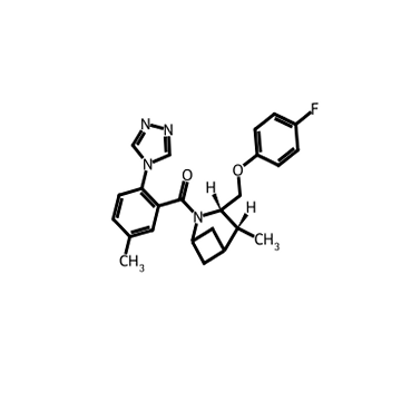 Cc1ccc(-n2cnnc2)c(C(=O)N2C3CC(C3)[C@@H](C)[C@H]2COc2ccc(F)cc2)c1